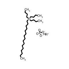 CCCCCCCCCCCCCCCC[P+](CCCC)(CCCC)CCCC.O=P([O-])([O-])[O-].[H+].[H+]